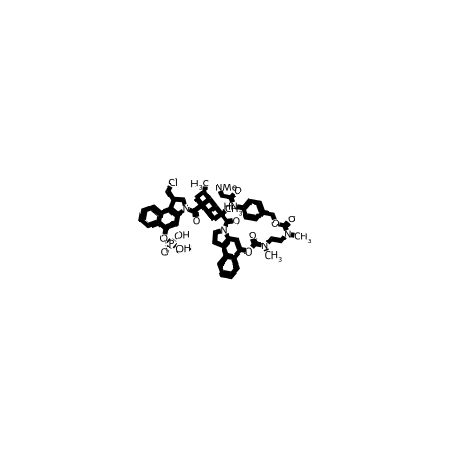 CNCC(=O)Nc1ccc(COC(=O)N(C)CCN(C)C(=O)Oc2cc3c(c4ccccc24)CCN3C(=O)C2(C)C3C4C(C)C5C2C3C45C(=O)N2CC(CCl)c3c2cc(OP(=O)(O)O)c2ccccc32)cc1